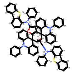 c1ccc(N2c3ccccc3C3(c4ccccc42)c2cc(N(c4ccccc4)c4cccc5c4sc4ccccc45)oc2C2(c4ccccc4N(c4ccccc4)c4ccccc42)c2cc(N(c4ccccc4)c4cccc5c4sc4ccccc45)oc23)cc1